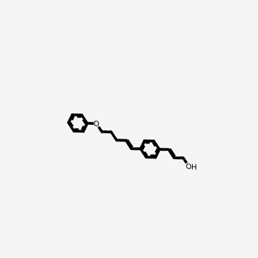 OC/C=C/c1ccc(C=CCCCOc2ccccc2)cc1